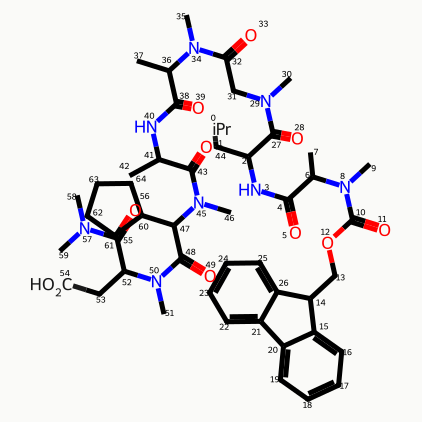 CC(C)CC(NC(=O)C(C)N(C)C(=O)OCC1c2ccccc2-c2ccccc21)C(=O)N(C)CC(=O)N(C)C(C)C(=O)NC(C)C(=O)N(C)C(C(=O)N(C)C(CC(=O)O)C(=O)N(C)C)C1CCCC1